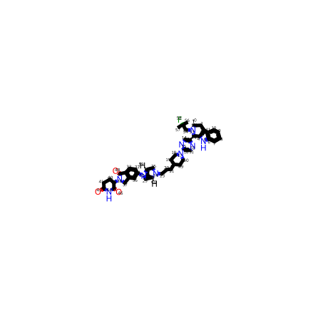 C[C@@H]1Cc2c([nH]c3ccccc23)[C@@H](c2cnc(N3CCC(CCCN4C[C@H]5C[C@@H]4CN5c4ccc5c(c4)CN(C4CCC(=O)NC4=O)C5=O)CC3)cn2)N1CC(C)(C)F